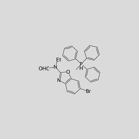 CCN(C=O)c1nc2ccc(Br)cc2o1.C[PH](c1ccccc1)(c1ccccc1)c1ccccc1